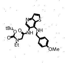 CCN(CC(=O)Nc1cnc2ccsc2c1NCc1ccc(OC)cc1)C(=O)OC(C)(C)C